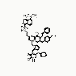 CN(C)c1cccc2c(S(=O)(=O)NCCCCC(CN3CCCC3CN3C(=O)C(=O)NCC3Cc3ccccc3)N3CC(Cc4ccc(O)cc4)N(CCc4ccccc4)C(=O)C3=O)cccc12